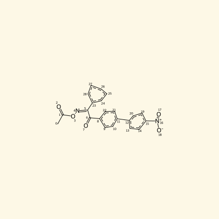 CC(=O)O/N=C(\C(=O)c1ccc(-c2ccc([N+](=O)[O-])cc2)cc1)c1ccccc1